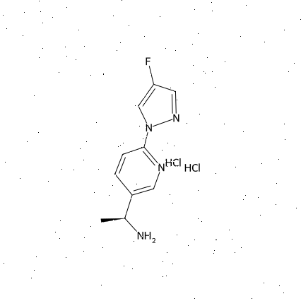 C[C@H](N)c1ccc(-n2cc(F)cn2)nc1.Cl.Cl